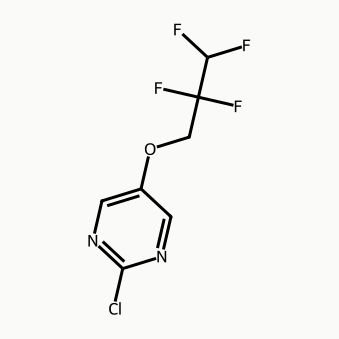 FC(F)C(F)(F)COc1cnc(Cl)nc1